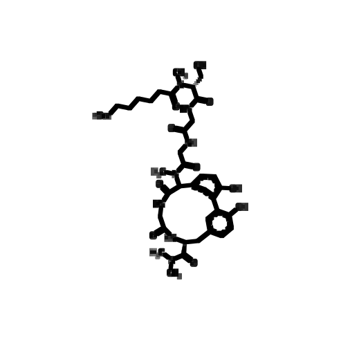 CCCCCCCCCCCCCCCC(=O)N(C)[C@H](CO)C(=O)NCC(=O)NCC(=O)N(C)C1C(=O)NCC(=O)N[C@H](C(=O)N(C)C)Cc2ccc(O)c(c2)-c2cc1ccc2O